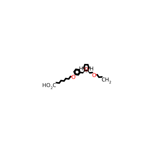 C=CCCOCC[C@H]1[C@@H](Cc2cccc(OCCCCCCCC(=O)O)c2)[C@H]2CC[C@@H]1O2